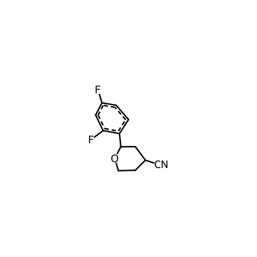 N#CC1CCOC(c2ccc(F)cc2F)C1